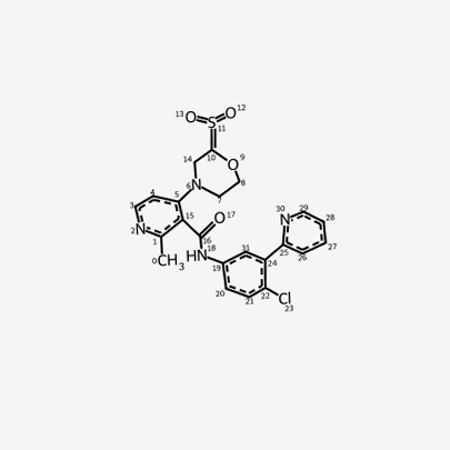 Cc1nccc(N2CCOC(=S(=O)=O)C2)c1C(=O)Nc1ccc(Cl)c(-c2ccccn2)c1